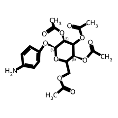 CC(=O)OCC1O[C@@H](Oc2ccc(N)cc2)[C@@H](OC(C)=O)C(OC(C)=O)[C@H]1OC(C)=O